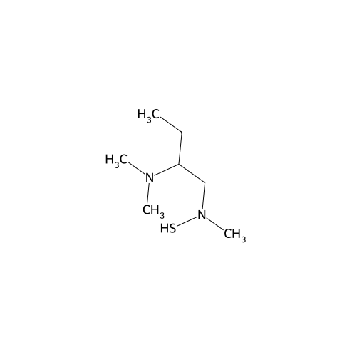 CCC(CN(C)S)N(C)C